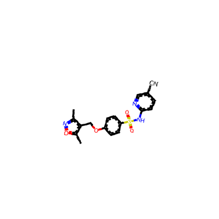 Cc1noc(C)c1COc1ccc(S(=O)(=O)Nc2ccc(C#N)cn2)cc1